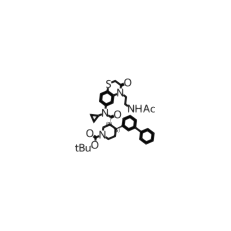 CC(=O)NCCN1C(=O)CSc2ccc(N(C(=O)[C@H]3CN(C(=O)OC(C)(C)C)CC[C@@H]3c3cccc(-c4ccccc4)c3)C3CC3)cc21